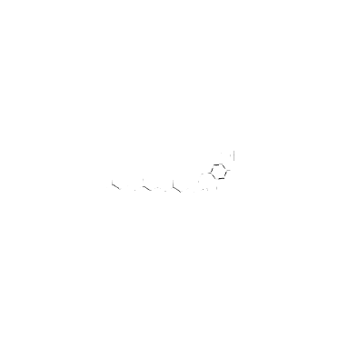 CC(C)=CCC/C(C)=C/CC/C(C)=C/CC[C@]1(C)CCc2cc(O)c(C)c(C)c2O1